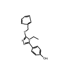 CCn1c(SCc2ccccc2)nnc1-c1ccc(O)cc1